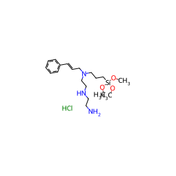 CO[Si](CCCN(CC=Cc1ccccc1)CCNCCN)(OC)OC.Cl